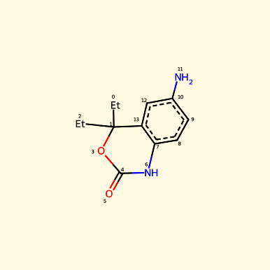 CCC1(CC)OC(=O)Nc2ccc(N)cc21